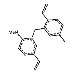 C=Cc1ccc(NC)c(Cc2cc(C)ccc2C=C)c1